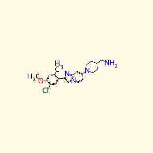 COc1cc(C)c(-c2cn3ccc(N4CCC(CN)CC4)cc3n2)cc1Cl